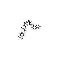 O=C(Cc1csc(NS(=O)(=O)CC=Cc2cccc3ccccc23)n1)NCc1ccc2c(c1)OCO2